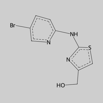 OCc1csc(Nc2ccc(Br)cn2)n1